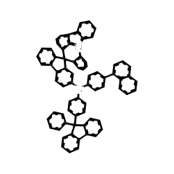 c1ccc(C2(c3ccc(N(c4ccc(-c5cccc6ccccc56)cc4)c4ccc5c(c4)C4(c6ccccc6-5)c5ccccc5-n5c6ccccc6c6cccc4c65)cc3)c3ccccc3-c3ccccc32)cc1